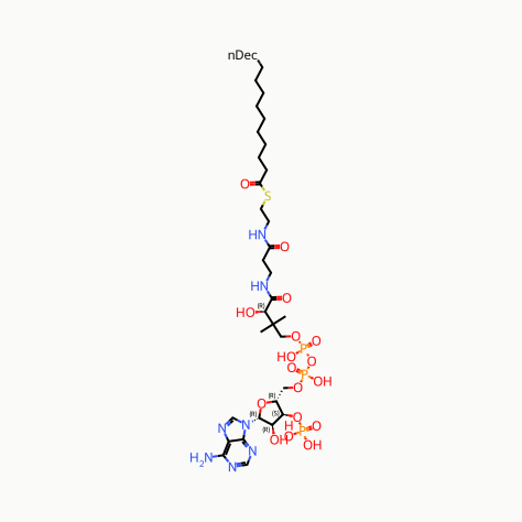 CCCCCCCCCCCCCCCCCCCC(=O)SCCNC(=O)CCNC(=O)[C@H](O)C(C)(C)COP(=O)(O)OP(=O)(O)OC[C@H]1O[C@@H](n2cnc3c(N)ncnc32)[C@H](O)[C@@H]1OP(=O)(O)O